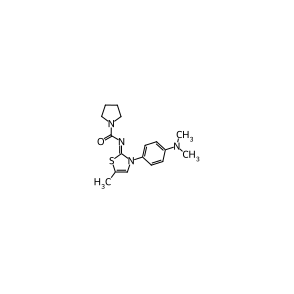 Cc1cn(-c2ccc(N(C)C)cc2)c(=NC(=O)N2CCCC2)s1